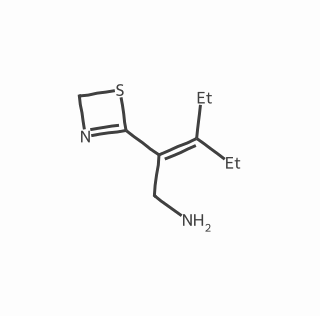 CCC(CC)=C(CN)C1=NCS1